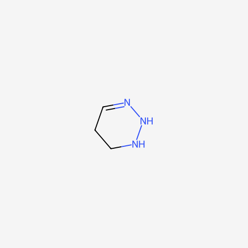 C1=NNNCC1